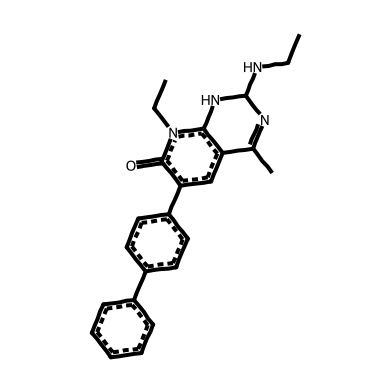 CCNC1N=C(C)c2cc(-c3ccc(-c4ccccc4)cc3)c(=O)n(CC)c2N1